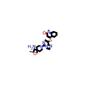 C[C@@H]1OCC2(CCN(c3ncc(Sc4cc(=O)n(C)c5ccccc45)c4nccn34)CC2)[C@@H]1N